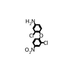 Nc1ccc(Oc2ccc([N+](=O)[O-])cc2Cl)c(Cl)c1